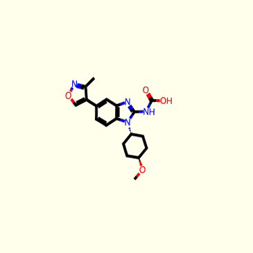 CO[C@H]1CC[C@H](n2c(NC(=O)O)nc3cc(-c4conc4C)ccc32)CC1